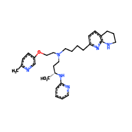 Cc1ccc(OCCN(CCCCc2ccc3c(n2)NCCC3)CC[C@H](Nc2ccccn2)C(=O)O)cn1